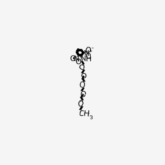 CCCOCCOCCOCCOCCOCCNc1c([N+](=O)[O-])cccc1[N+](=O)[O-]